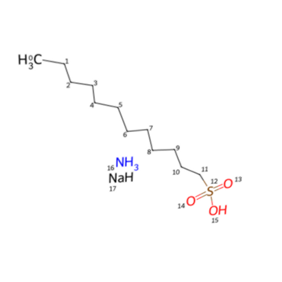 CCCCCCCCCCCCS(=O)(=O)O.N.[NaH]